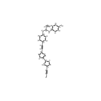 CC#Cc1ccc(-c2ccc(C#Cc3ccc(CC(Cc4ccc(C)cc4)C(C)(C)C)cc3)s2)s1